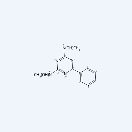 CN(O)c1nc(-c2ccccc2)nc(N(C)O)n1